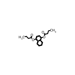 CCCC(=O)Oc1ccc(OC(=O)CCC)c2ccccc12